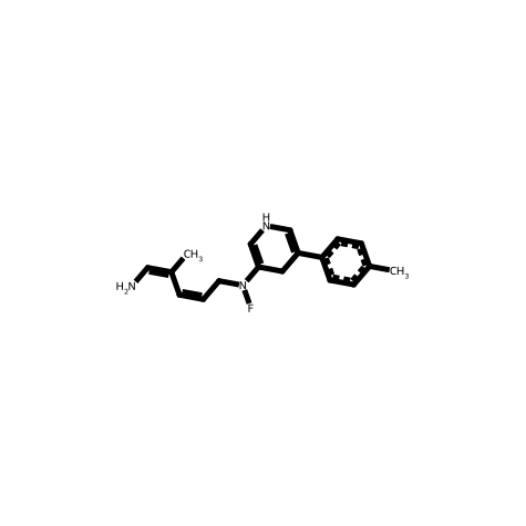 CC(/C=C\CN(F)C1=CNC=C(c2ccc(C)cc2)C1)=C/N